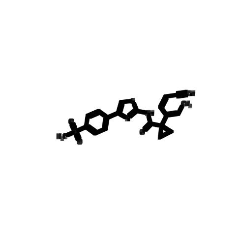 C#C/C=C\C(=C/C)C1(C(=O)Nc2nc(-c3ccc(S(C)(=O)=O)cc3)cs2)CC1